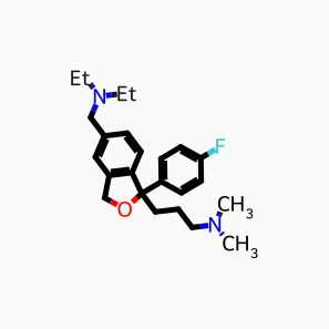 CCN(CC)Cc1ccc2c(c1)COC2(CCCN(C)C)c1ccc(F)cc1